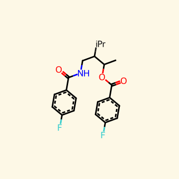 CC(C)C(CNC(=O)c1ccc(F)cc1)C(C)OC(=O)c1ccc(F)cc1